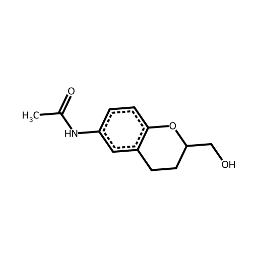 CC(=O)Nc1ccc2c(c1)CCC(CO)O2